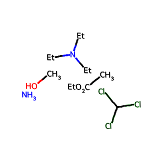 CCN(CC)CC.CCOC(C)=O.CO.ClC(Cl)Cl.N